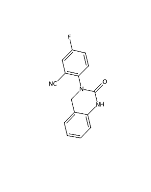 N#Cc1cc(F)ccc1N1Cc2ccccc2NC1=O